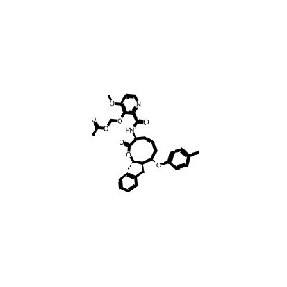 COc1ccnc(C(=O)N[C@H]2CCC[C@H](Oc3ccc(C)cc3)[C@@H](Cc3ccccc3)[C@H](C)OC2=O)c1OCOC(C)=O